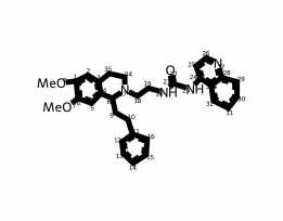 COc1cc2c(cc1OC)C(CCc1ccccc1)N(CCNC(=O)Nc1ccnc3ccccc13)CC2